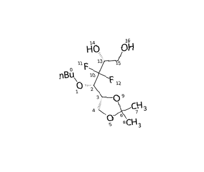 CCCCO[C@@H]([C@H]1COC(C)(C)O1)C(F)(F)[C@H](O)CO